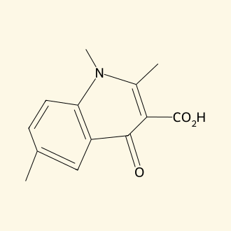 Cc1ccc2c(c1)c(=O)c(C(=O)O)c(C)n2C